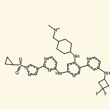 CN(C)CC1CCC(Nc2cc(Nc3ccnc(-c4cnn(S(=O)(=O)C5CC5)c4)n3)ncc2-c2cc(NC3CC(F)(F)C3)ccn2)CC1